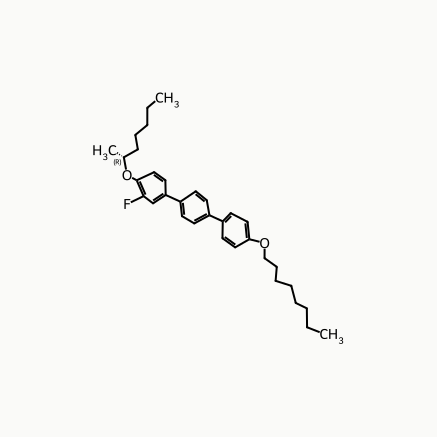 CCCCCCCCOc1ccc(-c2ccc(-c3ccc(O[C@H](C)CCCCC)c(F)c3)cc2)cc1